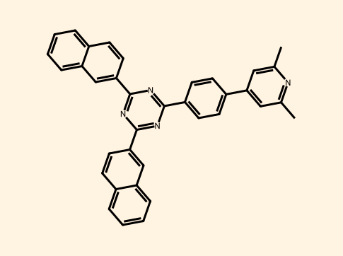 Cc1cc(-c2ccc(-c3nc(-c4ccc5ccccc5c4)nc(-c4ccc5ccccc5c4)n3)cc2)cc(C)n1